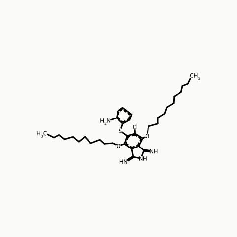 CCCCCCCCCCCOc1c(Cl)c(Sc2ccccc2N)c(OCCCCCCCCCCC)c2c1C(=N)NC2=N